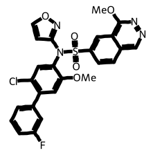 COc1cc(-c2cccc(F)c2)c(Cl)cc1N(c1ccon1)S(=O)(=O)c1ccc2cnnc(OC)c2c1